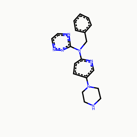 c1ccc(CN(c2ccc(N3CCNCC3)cn2)c2nccnn2)cc1